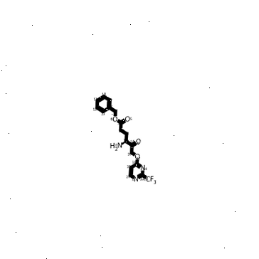 N[C@@H](CCC(=O)OCc1ccccc1)C(=O)COc1ccnc(C(F)(F)F)n1